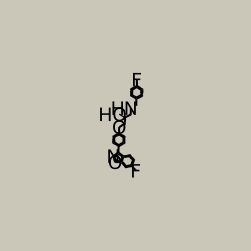 O[C@@H](CNCc1ccc(F)cc1)COc1ccc(-c2noc3cc(F)ccc23)cc1